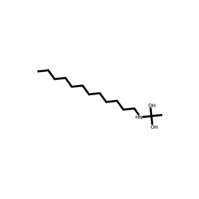 CCCCCCCCCCCCNC(C)(O)O